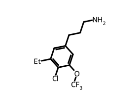 CCc1cc(CCCN)cc(OC(F)(F)F)c1Cl